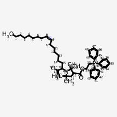 CCCCCCCC/C=C\CCCCCCC(C(=O)[O-])N1C(C)(C)CC(C(=O)OCC[P+](c2ccccc2)(c2ccccc2)c2ccccc2)C1(C)C